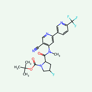 CN(C(=O)C1CC(F)CN1C(=O)OC(C)(C)C)c1cc(-c2ccc(C(F)(F)F)nc2)ncc1C#N